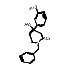 COc1cccc(C2(O)CCN(Cc3ccccc3)CC2)c1.Cl